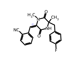 CN1C(=O)C(C)(Cc2ccc(F)cc2)NC(=O)/C1=C\c1ccccc1C#N